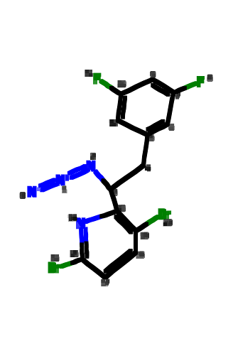 [N-]=[N+]=NC(Cc1cc(F)cc(F)c1)c1nc(Br)ccc1Br